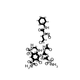 CC(=O)Nc1nnc(S(N)(=O)=O)s1.NS(=O)(=O)c1cc2c(cc1Cl)NCNS2(=O)=O.O=NN(CCCl)C(=O)NC1CCCCC1